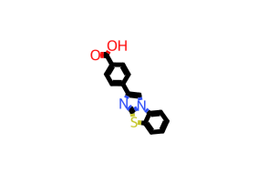 O=C(O)c1ccc(-c2cn3c(n2)sc2ccccc23)cc1